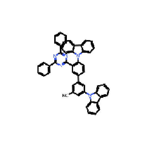 N#Cc1cc(-c2ccc(-n3c4ccccc4c4ccccc43)c(-c3nc(-c4ccccc4)nc(-c4ccccc4)n3)c2)cc(-n2c3ccccc3c3ccccc32)c1